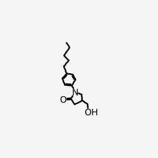 CCCCCc1ccc(N2CC(CO)CC2=O)cc1